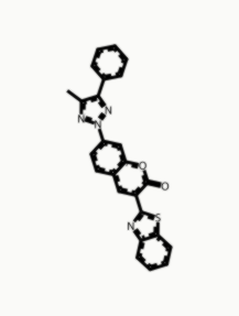 Cc1nn(-c2ccc3cc(-c4nc5ccccc5s4)c(=O)oc3c2)nc1-c1ccccc1